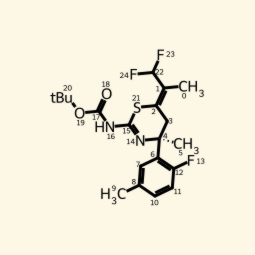 C/C(=C1\C[C@@](C)(c2cc(C)ccc2F)N=C(NC(=O)OC(C)(C)C)S1)C(F)F